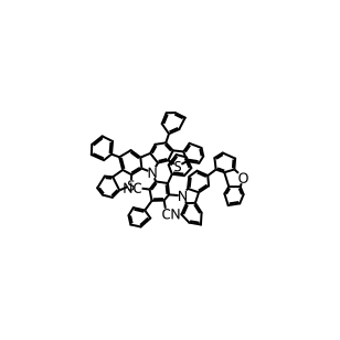 N#Cc1c(-c2ccccc2)c(C#N)c(-n2c3c(cc(-c4ccccc4)c4c5ccccc5sc43)c3cc(-c4ccccc4)c4c5ccccc5sc4c32)c(-c2ccccc2)c1-n1c2ccccc2c2cc(-c3cccc4oc5ccccc5c34)ccc21